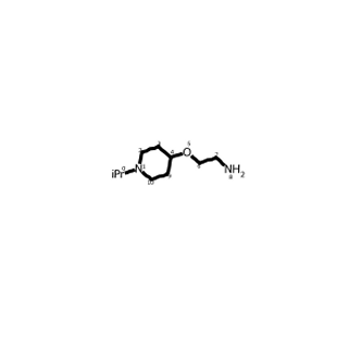 CC(C)N1CCC(OCCN)CC1